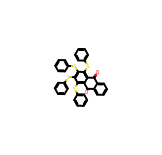 O=C1c2ccccc2C(=O)c2c(Sc3ccccc3)c(Sc3ccccc3)c(Sc3ccccc3)c(Sc3ccccc3)c21